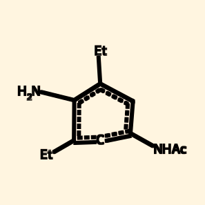 CCc1cc(NC(C)=O)cc(CC)c1N